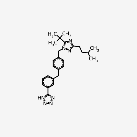 CC(C)CCc1nc(C(C)(C)C)n(Cc2ccc(Cc3cccc(-c4nnn[nH]4)c3)cc2)n1